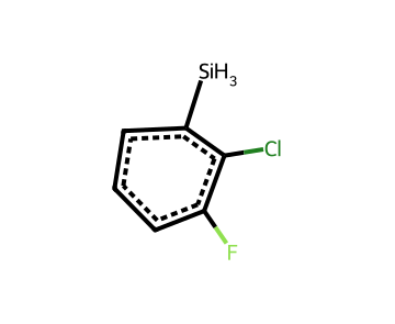 Fc1cccc([SiH3])c1Cl